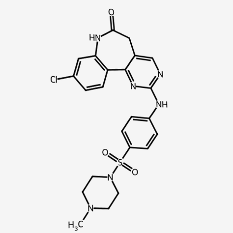 CN1CCN(S(=O)(=O)c2ccc(Nc3ncc4c(n3)-c3ccc(Cl)cc3NC(=O)C4)cc2)CC1